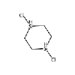 Cl[SiH]1CC[SiH](Cl)CC1